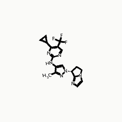 Cc1nn([C@@H]2CCn3ccnc32)cc1Nc1ncc(C(F)(F)F)c(C2CC2)n1